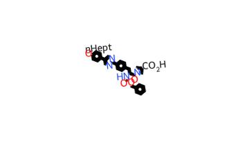 CCCCCCCOc1ccc(-c2cnc(-c3ccc(CC(NC(=O)OCc4ccccc4)C(=O)N4CC(C(=O)O)C4)cc3)nc2)cc1